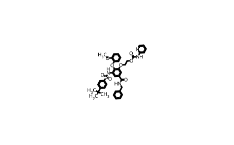 COc1ccccc1Oc1c(NS(=O)(=O)c2ccc(C(C)(C)C)cc2)cc(C(=O)NCc2ccccc2)cc1OCCOC(=O)Nc1ccccn1